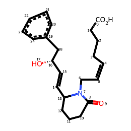 O=C(O)CCC/C=C\CN1C(=O)CCCC1/C=C/[C@H](O)Cc1ccccc1